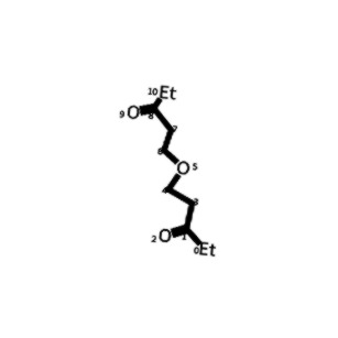 CCC(=O)CCOCCC(=O)CC